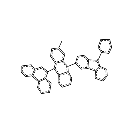 Cc1ccc2c(-c3cc4ccccc4c4ccccc34)c3ccccc3c(-c3ccc4c(c3)c3ccccc3p4-c3ccccc3)c2c1